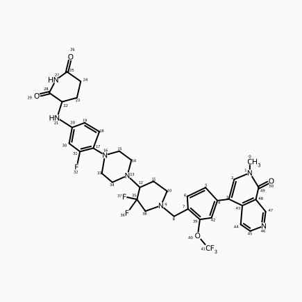 Cn1cc(-c2ccc(CN3CCC(N4CCN(c5ccc(NC6CCC(=O)NC6=O)cc5F)CC4)C(F)(F)C3)c(OC(F)(F)F)c2)c2ccncc2c1=O